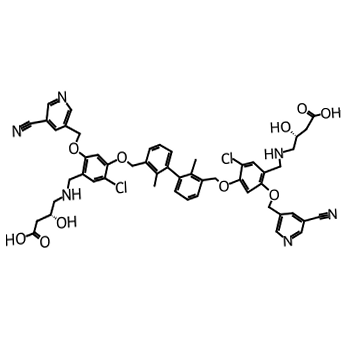 Cc1c(COc2cc(OCc3cncc(C#N)c3)c(CNC[C@H](O)CC(=O)O)cc2Cl)cccc1-c1cccc(COc2cc(OCc3cncc(C#N)c3)c(CNC[C@H](O)CC(=O)O)cc2Cl)c1C